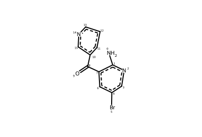 Nc1ncc(Br)cc1C(=O)c1cccnc1